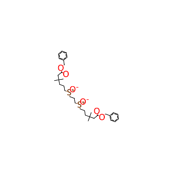 CC(C)(CCC[S+]([O-])CCC[S+]([O-])CCCC(C)(C)CC(=O)OCc1ccccc1)CC(=O)OCc1ccccc1